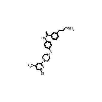 C=C(Nc1ccc(SN2CCN(c3cc(C(F)(F)F)cc(Cl)n3)CC2)cc1)c1cccc(CCCN)c1